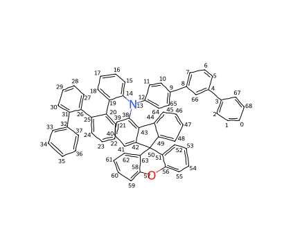 c1ccc(-c2cccc(-c3ccc(N(c4ccccc4-c4ccccc4-c4ccccc4-c4ccccc4)c4cccc5c4-c4ccccc4C54c5ccccc5Oc5ccccc54)cc3)c2)cc1